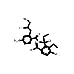 CCc1c(N)ccc(C(=O)O)c1C(O)(CC)OC(=O)c1ccc(N)cc1CC(O)CO